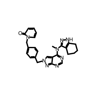 CN(c1n[nH]c2c1CCCC2)c1ncnc2nn(Cc3ccc(Cn4ccccc4=O)cc3)cc12